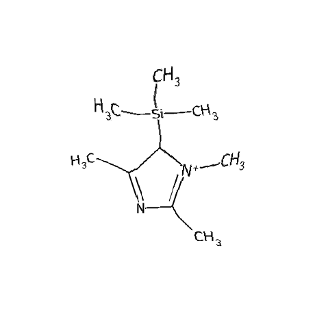 CC1=NC(C)=[N+](C)C1[Si](C)(C)C